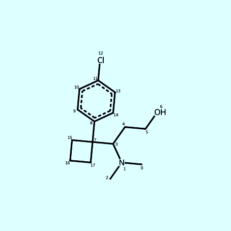 CN(C)C(CCO)C1(c2ccc(Cl)cc2)CCC1